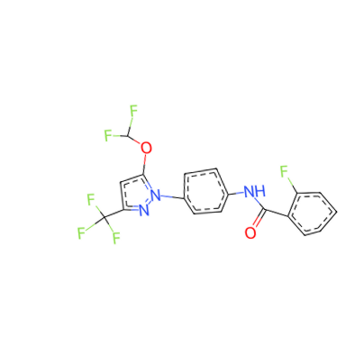 O=C(Nc1ccc(-n2nc(C(F)(F)F)cc2OC(F)F)cc1)c1ccccc1F